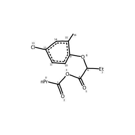 CCCC(=O)OC(=O)C(CC)Oc1ccc(Cl)cc1C